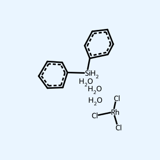 O.O.O.[Cl][Rh]([Cl])[Cl].c1ccc([SiH2]c2ccccc2)cc1